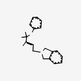 F/C(=C\CN1Cc2ccccc2C1)C(F)(F)Sc1ccccc1